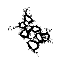 N#Cc1cc(C(F)(F)F)ccc1-c1ccc(-n2c3ccc(C(F)(F)F)cc3c3cc(C(F)(F)F)ccc32)c(-c2c(C#N)cccc2-n2c3ccc(C(F)(F)F)cc3c3cc(C(F)(F)F)ccc32)c1